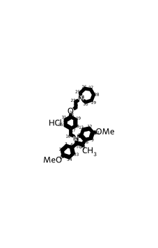 COc1ccc(-c2c(C)c3cc(OC)ccc3n2Cc2ccc(OCCN3CCCCCC3)cc2)cc1.Cl